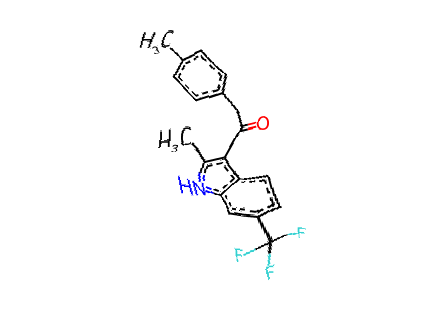 Cc1ccc(C(=O)c2c(C)[nH]c3cc(C(F)(F)F)ccc23)cc1